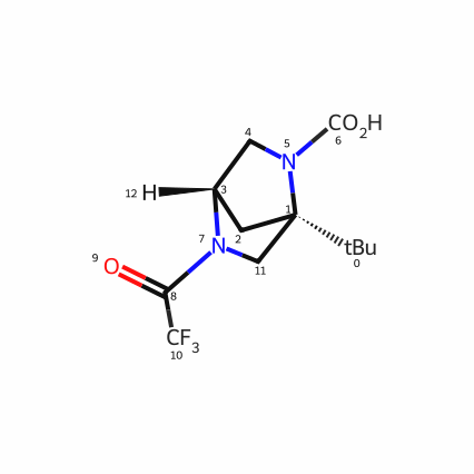 CC(C)(C)[C@]12C[C@@H](CN1C(=O)O)N(C(=O)C(F)(F)F)C2